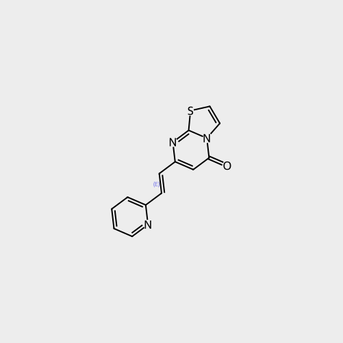 O=c1cc(/C=C/c2ccccn2)nc2sccn12